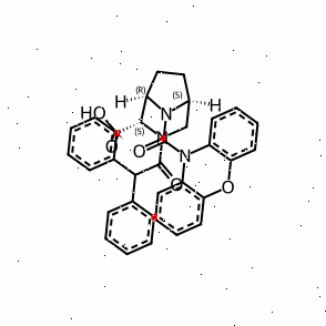 O=C(O)[C@@H]1[C@H]2CC[C@@H](CN1C(=O)C(c1ccccc1)c1ccccc1)N2C(=O)N1c2ccccc2Oc2ccccc21